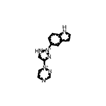 c1c[n+](-c2c[nH][n+](-c3ccc4[nH]ccc4c3)n2)ncn1